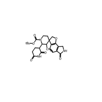 CC1C(C2CCC(=O)NC2=O)N(C(=O)OC(C)(C)C)CCC12COc1c2ccc2c1CNC2=O